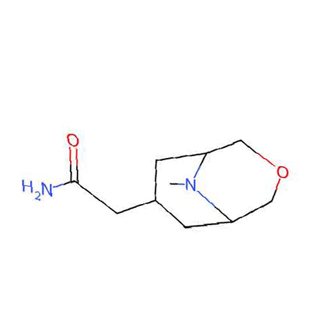 CN1C2COCC1CC(CC(N)=O)C2